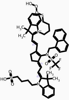 CC1(C)C(/C=C/C2=C(N(Cc3cccc4ccccc34)S(=O)(=O)C(F)(F)F)C(=C/C=C3/N(CCCCS(=O)(=O)O)c4ccccc4C3(C)C)/CC2)=[N+](CCCCSOOO)c2ccccc21